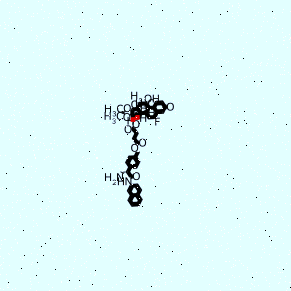 CC1(C)O[C@@H]2C[C@H]3[C@@H]4C[C@H](F)C5=CC(=O)C=C[C@]5(C)[C@@]4(F)[C@@H](O)C[C@]3(C)[C@]2(C(=O)COC(=O)CCC(=O)OCc2ccc([C@@H](CN)C(=O)Nc3ccc4ccccc4c3)cc2)O1